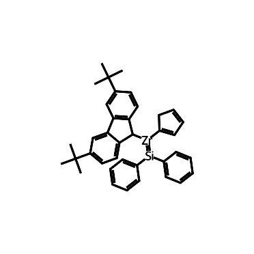 CC(C)(C)c1ccc2c(c1)-c1cc(C(C)(C)C)ccc1[CH]2[Zr]([C]1=CC=CC1)=[Si](c1ccccc1)c1ccccc1